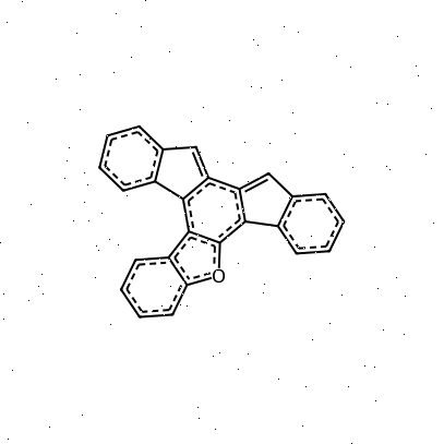 C1=c2c(c3oc4ccccc4c3c3c2=Cc2ccccc2-3)-c2ccccc21